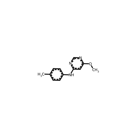 COc1cc(Nc2ccc(C)cc2)ncn1